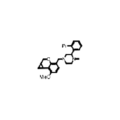 COc1ccc(CN2CCN(C)C(c3ccccc3C(C)C)C2)c2c1C1CC1CO2